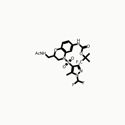 CC(=O)NCC1CN(S(=O)(=O)c2cnn(C(F)F)c2C)c2cc(NC(=O)OC(C)(C)C(F)(F)F)ccc2O1